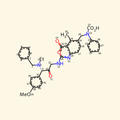 CCN(Cc1ccccc1)[C@H](C(=O)CNc1nc2ccc(CN(C(=O)O)c3ccccc3)c(C)c2c(=O)o1)c1ccc(OC)cc1